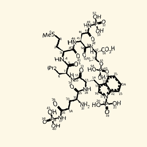 CSCC[C@H](NC(=O)[C@H](CC(C)C)NC(=O)[C@H](Cc1cn(P(=O)(O)O)c2ccccc12)NC(=O)[C@@H](N)CCC(=O)NP(=O)(O)O)C(=O)N[C@@H](CC(=O)NP(=O)(O)O)C(=O)N[C@H](C(=O)O)[C@@H](C)OP(=O)(O)O